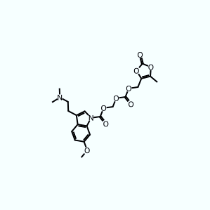 COc1ccc2c(CCN(C)C)cn(C(=O)OCOC(=O)OCc3oc(=O)oc3C)c2c1